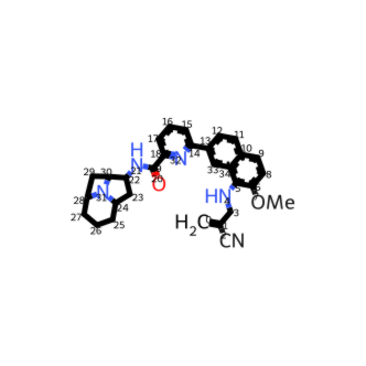 C=C(C#N)CNc1c(OC)ccc2ccc(-c3cccc(C(=O)NC4CC5CCCC6CC4N56)n3)cc12